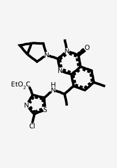 CCOC(=O)c1nc(Cl)sc1NC(C)c1cc(C)cc2c(=O)n(C)c(N3CC4CC4C3)nc12